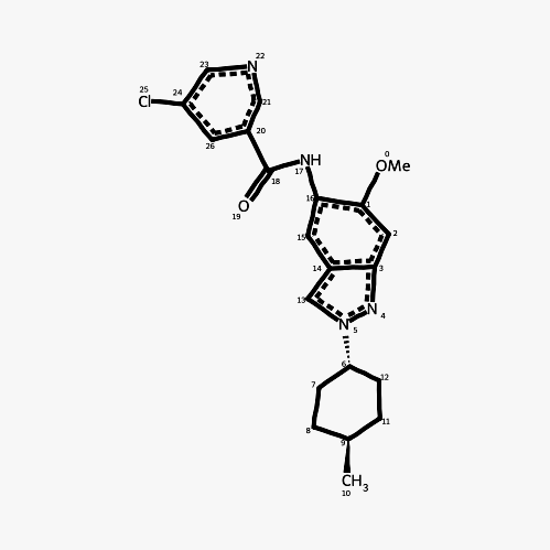 COc1cc2nn([C@H]3CC[C@H](C)CC3)cc2cc1NC(=O)c1cncc(Cl)c1